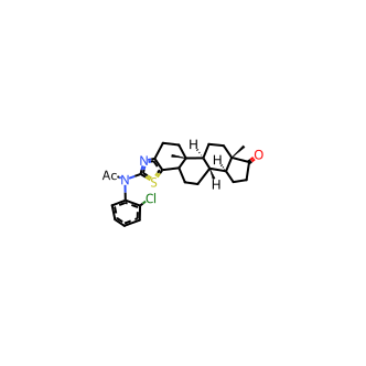 CC(=O)N(c1nc2c(s1)C1CC[C@@H]3[C@H](CC[C@]4(C)C(=O)CC[C@@H]34)[C@@]1(C)CC2)c1ccccc1Cl